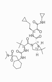 CN(C)S(=O)(=O)CC1(NC(=O)N[C@H](C(=O)N2C[C@H]3[C@@H]([C@H]2C(=O)N[C@@H](CCC2CC2)C(=O)C(=O)NC2CC2)C3(C)C)C(C)(C)C)CCCCC1